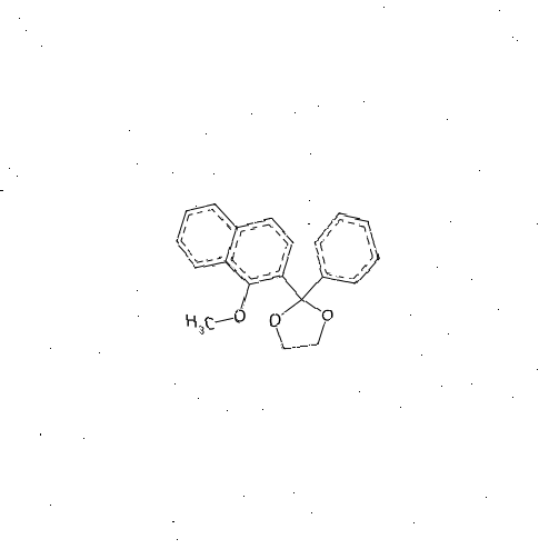 COc1c(C2(c3ccccc3)OCCO2)ccc2ccccc12